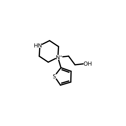 OCC[N+]1(c2cccs2)CCNCC1